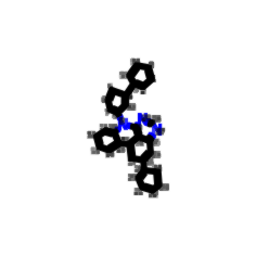 c1ccc(-c2cccc(N3c4ccccc4-c4cc(-c5ccccc5)cc5ncnc3c45)c2)cc1